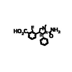 CN1CC(c2cccc(C(=O)O)c2F)[C@@H](c2ccccc2)[C@H]1C(N)=O